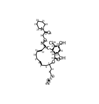 [N-]=[N+]=NCCC1C/C=C/CC/C=C/C(=NOCC(=O)N2CCCCC2)Cc2c(Cl)c(O)cc(O)c2C(=O)O1